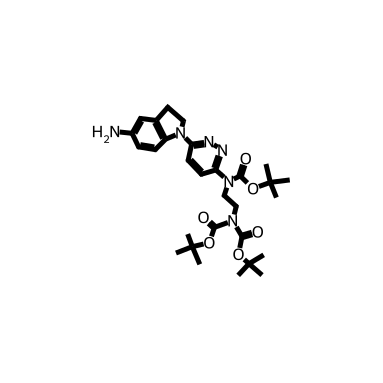 CC(C)(C)OC(=O)N(CCN(C(=O)OC(C)(C)C)c1ccc(N2CCc3cc(N)ccc32)nn1)C(=O)OC(C)(C)C